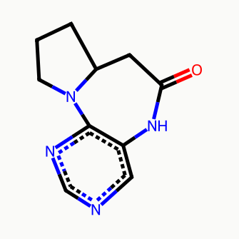 O=C1CC2CCCN2c2ncncc2N1